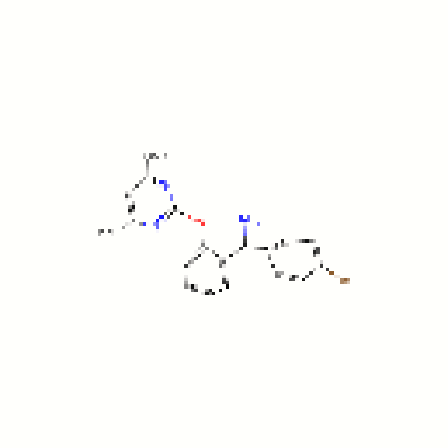 COc1cc(OC)nc(Oc2ccccc2C(N)c2ccc(Br)cc2)n1